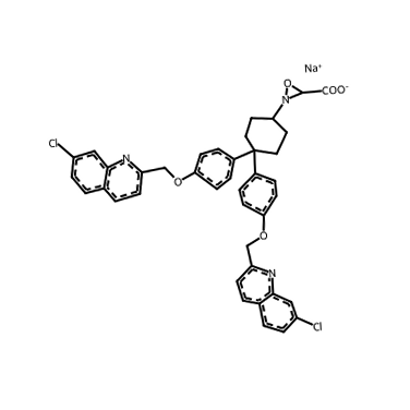 O=C([O-])C1ON1C1CCC(c2ccc(OCc3ccc4ccc(Cl)cc4n3)cc2)(c2ccc(OCc3ccc4ccc(Cl)cc4n3)cc2)CC1.[Na+]